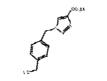 CCOC(=O)c1cn(Cc2ccc(CO)cc2)nn1